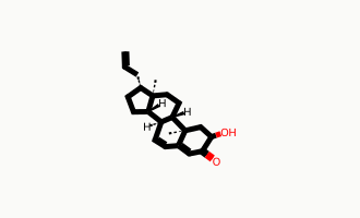 C=CC[C@H]1CC[C@H]2[C@@H]3C=CC4=CC(=O)C(O)C[C@]4(C)[C@H]3CC[C@]12C